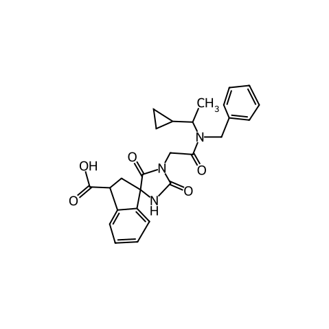 CC(C1CC1)N(Cc1ccccc1)C(=O)CN1C(=O)NC2(CC(C(=O)O)c3ccccc32)C1=O